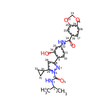 CC(C)NC(=O)n1nc(-c2ccc(NC(=O)c3ccc4c(c3)OCO4)cc2O)cc1C1CC1